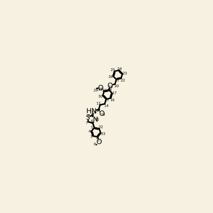 COc1ccc(C2CSC(NC(=O)CCc3ccc(OCc4ccccc4)c(OC)c3)=N2)cc1